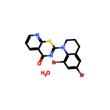 O.O=c1nc(N2CCCc3cc(Br)cc(Br)c32)sc2ncccc12